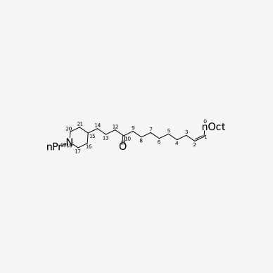 CCCCCCCC/C=C\CCCCCCCC(=O)CCCC1CCN(CCC)CC1